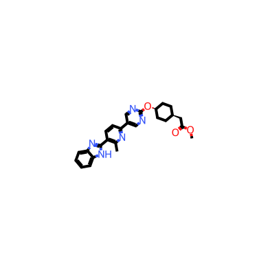 COC(=O)C[C@H]1CC[C@H](Oc2ncc(-c3ccc(-c4nc5ccccc5[nH]4)c(C)n3)cn2)CC1